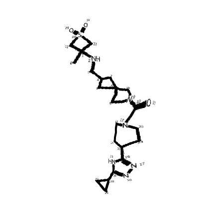 CC1(NCC2CC3(C2)CN(C(=O)N2CCC(c4nnc(C5CC5)[nH]4)CC2)C3)CS(=O)(=O)C1